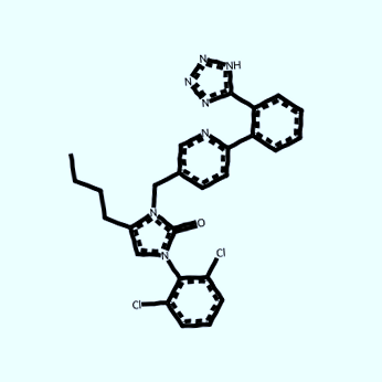 CCCCc1cn(-c2c(Cl)cccc2Cl)c(=O)n1Cc1ccc(-c2ccccc2-c2nnn[nH]2)nc1